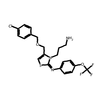 NCCCn1c(COCc2ccc(Cl)cc2)cs/c1=N/c1ccc(OC(F)(F)F)cc1